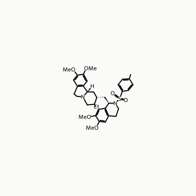 CC[C@H]1CN2CCc3cc(OC)c(OC)cc3[C@@H]2C[C@@H]1C[C@@H]1c2cc(OC)c(OC)cc2CCN1S(=O)(=O)c1ccc(C)cc1